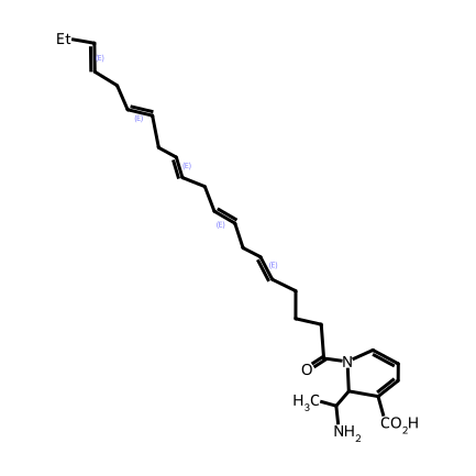 CC/C=C/C/C=C/C/C=C/C/C=C/C/C=C/CCCC(=O)N1C=CC=C(C(=O)O)C1C(C)N